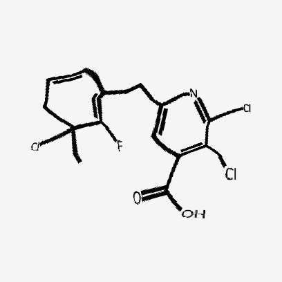 CC1(Cl)CC=CC(Cc2cc(C(=O)O)c(Cl)c(Cl)n2)=C1F